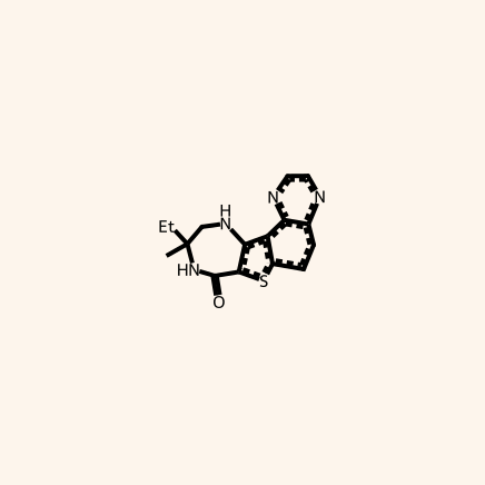 CCC1(C)CNc2c(sc3ccc4nccnc4c23)C(=O)N1